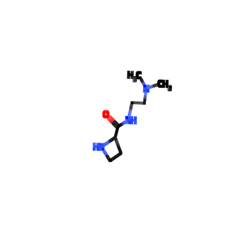 CN(C)CCNC(=O)C1CCN1